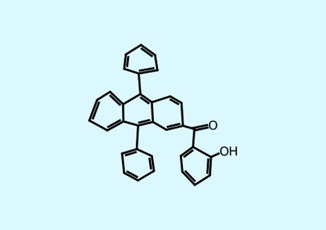 O=C(c1ccc2c(-c3ccccc3)c3ccccc3c(-c3ccccc3)c2c1)c1ccccc1O